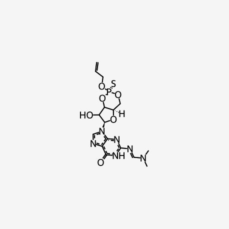 C=CCOP1(=S)OC[C@H]2O[C@@H](n3cnc4c(=O)[nH]c(/N=C/N(C)C)nc43)C(O)C2O1